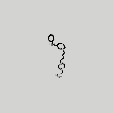 CCN1CCN(CCCCN2CCCC(Nc3ccccc3)C2)CC1